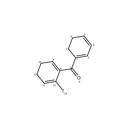 O=C(C1=CC=CCC1)C1=CCCC=C1I